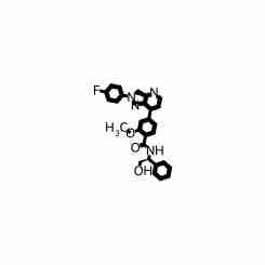 COc1cc(-c2ccnc3cn(-c4ccc(F)cc4)nc23)ccc1C(=O)N[C@H](CO)c1ccccc1